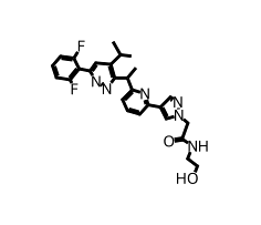 CC(C)c1cc(-c2c(F)cccc2F)nnc1C(C)c1cccc(-c2cnn(CC(=O)NCCO)c2)n1